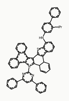 CC(C)c1cc(Nc2cccc3c4c(sc23)-c2c(n(-c3nc(-c5ccccc5)cc(-c5ccccc5)n3)c3c5ccccc5c5ccccc5c23)C2C=CC=CC42)ccc1-c1ccccc1